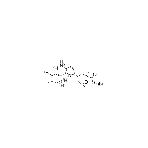 [2H]C1=C(c2nc(C3CC(C)(C)OC(C)(C(=O)OCCCC)C3)ccc2N)C([2H])([2H])CC(C)C1[2H]